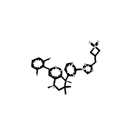 C[C@@H]1CC(C)(C)[C@@](C)(c2ccnc(-n3cnc(CC4CS(=O)(=O)C4)n3)n2)c2nnc(-c3c(F)cccc3F)cc21